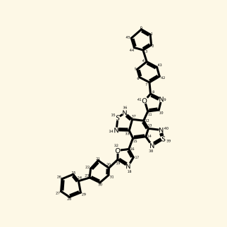 c1ccc(-c2ccc(-c3ncc(-c4c5c(c(-c6cnc(-c7ccc(-c8ccccc8)cc7)o6)c6nsnc46)N=S=N5)o3)cc2)cc1